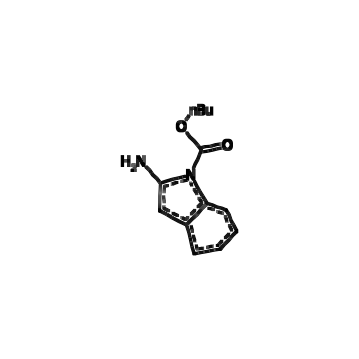 CCCCOC(=O)n1c(N)cc2ccccc21